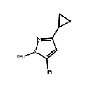 CC(C)c1cc(C2CC2)nn1C(C)(C)C